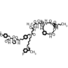 CCCNC(=O)C1[C@@H]2CCN1C(=O)CNC(=O)[C@@H](NC(=O)C(C)NC(=O)[C@H](C)NC(=O)CCC(=O)N(CCCCCCn1cc(C)c3cc(F)ccc31)Cc1ccc(CCNC(=O)[C@@H]3CCCN3C(=O)[C@H](Cc3ccc(OC)cc3)NC=O)cc1)Cc1cccc(c1)CNC(=O)CO2